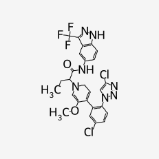 CCC(C(=O)Nc1ccc2[nH]nc(C(F)(F)F)c2c1)N1C=C(OC)C(c2cc(Cl)ccc2-n2cc(Cl)nn2)=CC1